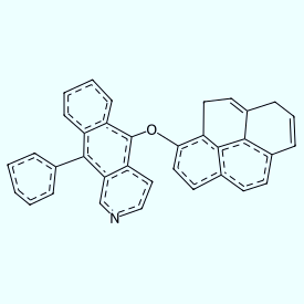 C1=Cc2ccc3ccc(Oc4c5ccccc5c(-c5ccccc5)c5cnccc45)c4c3c2C(=CC4)C1